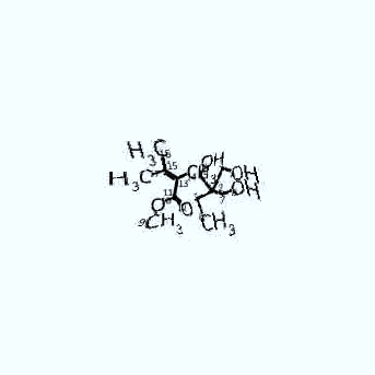 CCC(CO)(CO)CO.COC(=O)C(C)=C(C)C